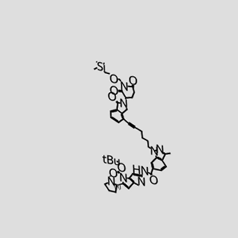 Cc1nn(CCCCC#Cc2cccc3c2CN(C2CCC(=O)N(COCC[Si](C)(C)C)C2=O)C3=O)c2cc(C(=O)Nc3cc4c(cn3)cc([C@H]3CCCN3C)n4C(=O)OC(C)(C)C)ccc12